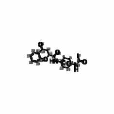 O=C(I)NC12CCC(NC(=O)C3CC(=O)c4ccccc4O3)(CC1)CC2